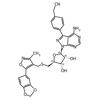 Cc1noc(-c2ccc3c(c2)OCO3)c1CSC[C@H]1O[C@@H](n2nc(-c3ccc(CC#N)cc3)c3c(N)ncnc32)[C@H](O)[C@@H]1O